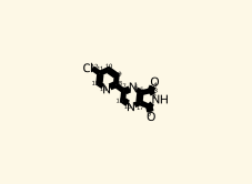 O=C1NC(=O)c2nc(-c3ccc(Cl)cn3)cnc21